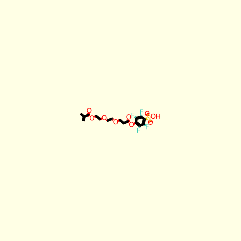 C=C(C)C(=O)OCCOCCOCCC(=O)Oc1c(F)c(F)c(S(=O)(=O)O)c(F)c1F